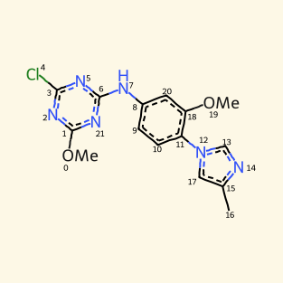 COc1nc(Cl)nc(Nc2ccc(-n3cnc(C)c3)c(OC)c2)n1